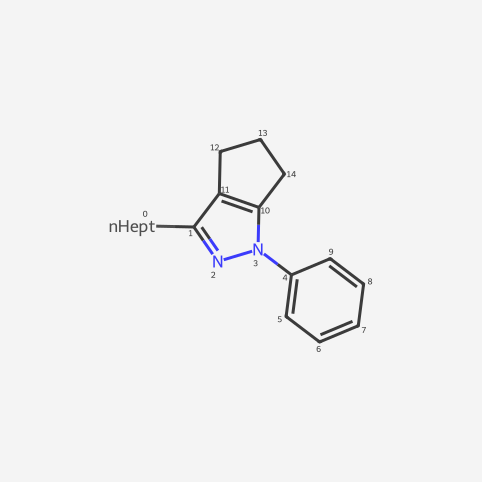 CCCCCCCc1nn(-c2ccccc2)c2c1CCC2